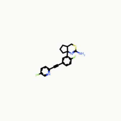 NC1=NC2(c3cc(C#Cc4ccc(F)cn4)ccc3F)CCCC2CS1